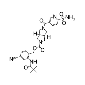 CC(C)(C)C(=O)Nc1cc(C#N)ccc1COC(=O)N1C[C@@H]2CN(C(=O)c3ccc(S(N)(=O)=O)nc3)C[C@H]2C1